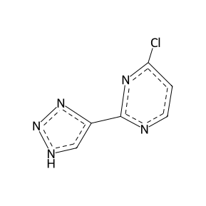 Clc1ccnc(-c2c[nH]nn2)n1